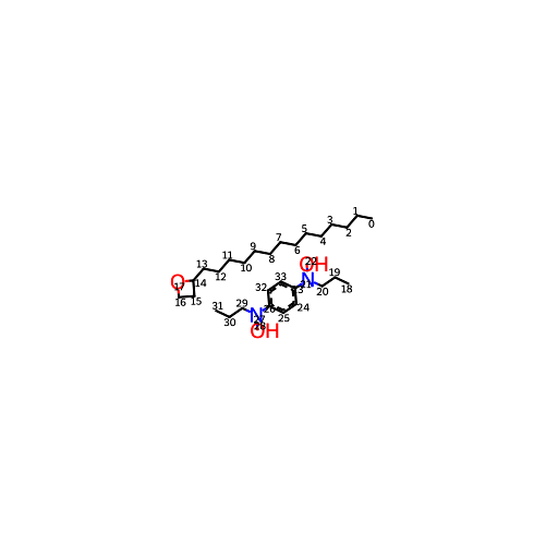 CCCCCCCCCCCCCCC1CCO1.CCCN(O)c1ccc(N(O)CCC)cc1